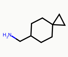 NCC1CCC2(CC1)CC2